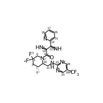 C[C@@H]1CC(F)(F)CN(C(=O)C(=N)C(=N)c2ccccn2)C1CNc1ncc(C(F)(F)F)cn1